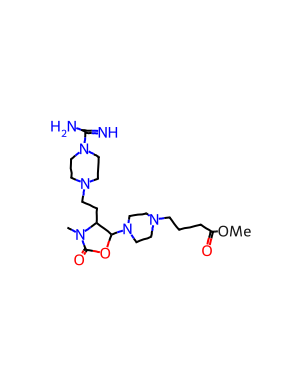 COC(=O)CCCN1CCN(C2OC(=O)N(C)C2CCN2CCN(C(=N)N)CC2)CC1